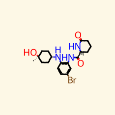 C[C@]1(O)CC[C@@H](Nc2ccc(Br)cc2NC(=O)[C@@H]2CCCC(=O)N2)CC1